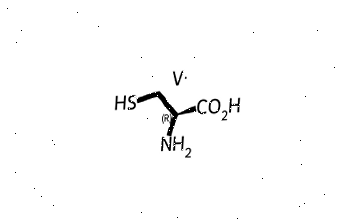 N[C@@H](CS)C(=O)O.[V]